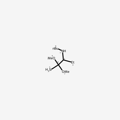 CCCCNC(CC)C([SiH3])(OC)OC